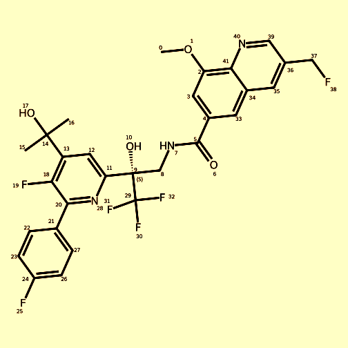 COc1cc(C(=O)NC[C@](O)(c2cc(C(C)(C)O)c(F)c(-c3ccc(F)cc3)n2)C(F)(F)F)cc2cc(CF)cnc12